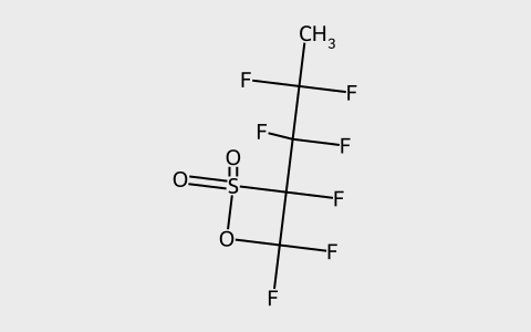 CC(F)(F)C(F)(F)C1(F)C(F)(F)OS1(=O)=O